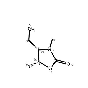 CC(C)[C@H]1OC(=O)N(C)[C@@H]1CO